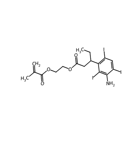 C=C(C)C(=O)OCCOC(=O)CC(CC)c1c(I)cc(I)c(N)c1I